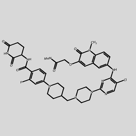 CNC(=O)COc1cc2cc(Nc3nc(N4CCN(CC5CCN(c6ccc(C(=O)NC7CCC(=O)NC7=O)c(F)c6)CC5)CC4)ncc3Cl)ccc2n(C)c1=O